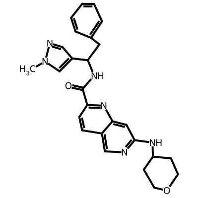 Cn1cc(C(Cc2ccccc2)NC(=O)c2ccc3cnc(NC4CCOCC4)cc3n2)cn1